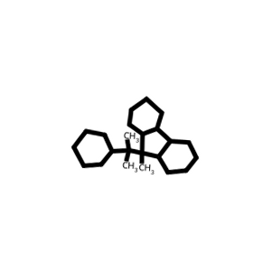 CC(C)(C1CCCCC1)C1(C)C2CCCCC2C2CCCCC21